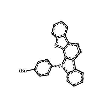 CC(C)(C)c1ccc(-n2c3ccccc3c3ccc4c5ccccc5sc4c32)cc1